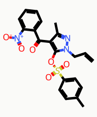 C=CCn1nc(C)c(C(=O)c2ccccc2[N+](=O)[O-])c1OS(=O)(=O)c1ccc(C)cc1